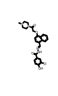 CN1CCN(C(=O)COc2ccc(/C=N/NC(=O)c3ccc(O)c(Cl)c3)c3ccccc23)CC1